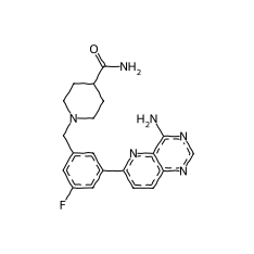 NC(=O)C1CCN(Cc2cc(F)cc(-c3ccc4ncnc(N)c4n3)c2)CC1